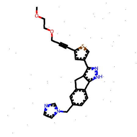 COCCOCC#Cc1cc(-c2n[nH]c3c2Cc2cc(Cn4ccnc4)ccc2-3)cs1